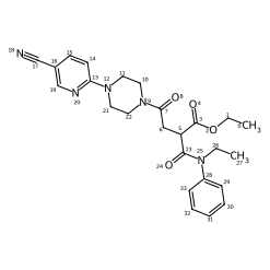 CCOC(=O)C(CC(=O)N1CCN(c2ccc(C#N)cn2)CC1)C(=O)N(CC)c1ccccc1